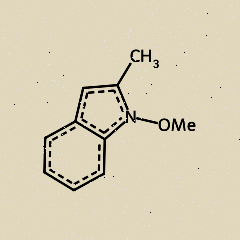 COn1c(C)cc2ccccc21